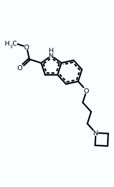 COC(=O)c1cc2cc(OCCCN3CCC3)ccc2[nH]1